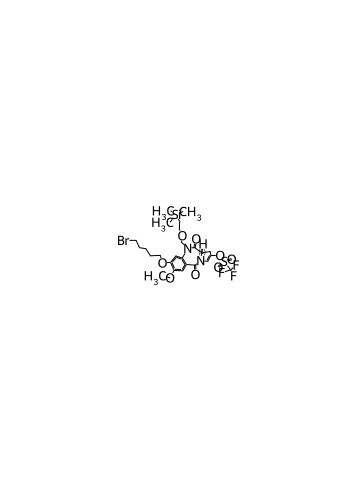 COc1cc2c(cc1OCCCCCBr)N(COCC[Si](C)(C)C)C(=O)[C@@H]1CC(OS(=O)(=O)C(F)(F)F)=CN1C2=O